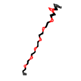 CC(C)(C)CCOCCOCCOCCOCCOCCOCCOCC(C)(C)C